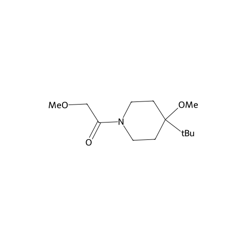 COCC(=O)N1CCC(OC)(C(C)(C)C)CC1